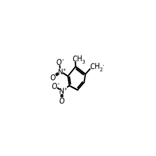 [CH2]c1ccc([N+](=O)[O-])c([N+](=O)[O-])c1C